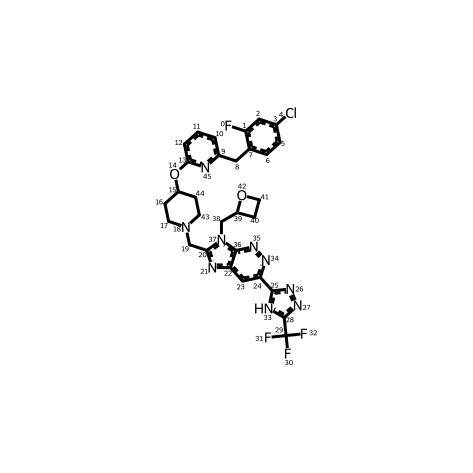 Fc1cc(Cl)ccc1Cc1cccc(OC2CCN(Cc3nc4cc(-c5nnc(C(F)(F)F)[nH]5)nnc4n3CC3CCO3)CC2)n1